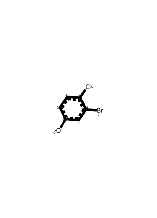 [O]c1ccc(Cl)c(Br)c1